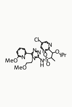 COCCn1c(NS(=O)(=O)C(C)C(OC(C)C)c2ncc(Cl)cn2)nnc1-c1cccc(OC)n1